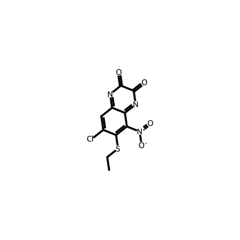 CCSc1c(Cl)cc2c(c1[N+](=O)[O-])=NC(=O)C(=O)N=2